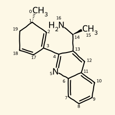 C[C@@H]1C=C(c2nc3ccccc3cc2[C@H](C)N)C=CC1